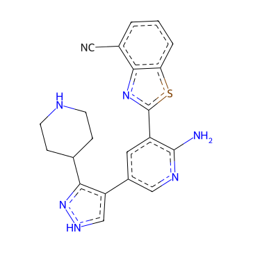 N#Cc1cccc2sc(-c3cc(-c4c[nH]nc4C4CCNCC4)cnc3N)nc12